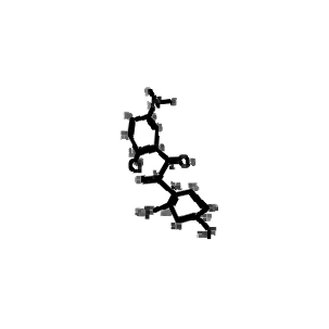 C=C(C(=O)c1cc(N(C)C)ccc1Cl)c1ccc(F)cc1F